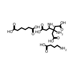 NC(CC(=O)O)C(N)(CC(=O)O)CC(=O)O.NCCCC(=O)O.O=C(O)CCCCC(=O)O